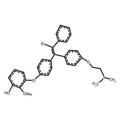 CCC(=C(c1ccc(OCCN(C)C)cc1)c1ccc(Oc2[c]ccc(O)c2OC)cc1)c1ccccc1